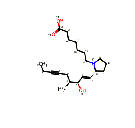 CCC#CC[C@H](C)[C@H](O)/C=C/[C@H]1CCCN1CCCCCCC(=O)O